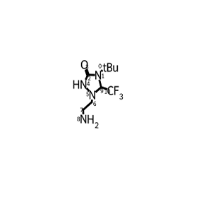 CC(C)(C)N1C(=O)NN(CCN)C1C(F)(F)F